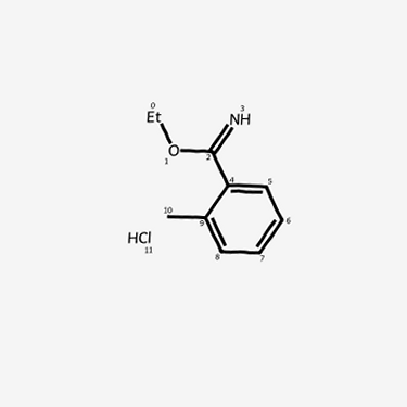 CCOC(=N)c1ccccc1C.Cl